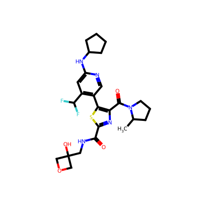 CC1CCCN1C(=O)c1nc(C(=O)NCC2(O)COC2)sc1-c1cnc(NC2CCCC2)cc1C(F)F